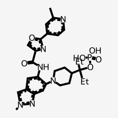 CCC(CC)(OP(=O)(O)O)C1CCN(c2cc3nn(C)cc3cc2NC(=O)c2coc(-c3ccnc(C)c3)n2)CC1